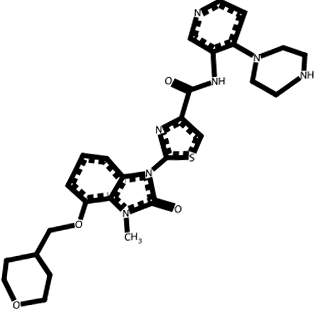 Cn1c(=O)n(-c2nc(C(=O)Nc3cnccc3N3CCNCC3)cs2)c2cccc(OCC3CCOCC3)c21